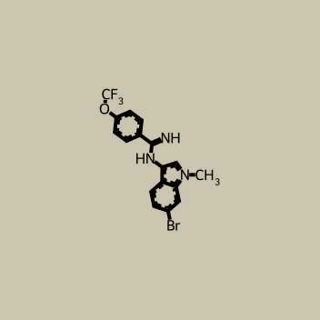 Cn1cc(NC(=N)c2ccc(OC(F)(F)F)cc2)c2ccc(Br)cc21